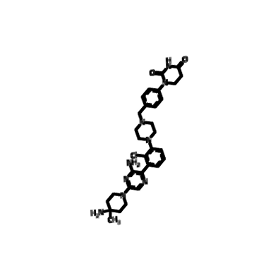 CC1(N)CCN(c2cnc(-c3cccc(N4CCN(Cc5ccc(N6CCC(=O)NC6=O)cc5)CC4)c3Cl)c(N)n2)CC1